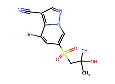 CC(C)(O)CS(=O)(=O)c1cc(Br)c2c(C#N)cnn2c1